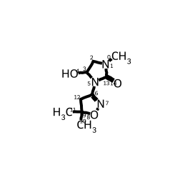 CN1CC(O)N(C2=NOC(C)(C)C2)C1=O